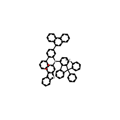 Cc1ccccc1C1(c2ccccc2)c2ccccc2-c2c(N(c3ccc4c(c3)sc3ccccc34)c3cc(-c4cc5ccccc5c5ccccc45)ccc3-c3ccccc3)cccc21